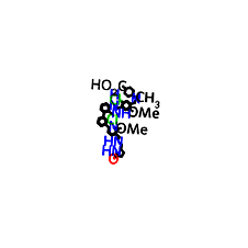 COc1cc(CNc2cccc(-c3cccc(-c4ccc(CNCC5CCC(=O)N5)c(OC)n4)c3Cl)c2C=N)c(Cl)cc1CN(C)C1CCC(C(=O)O)CC1